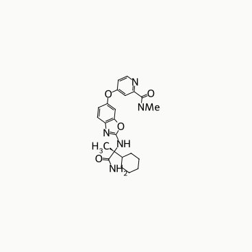 CNC(=O)c1cc(Oc2ccc3nc(N[C@@](C)(C(N)=O)C4CCCCC4)oc3c2)ccn1